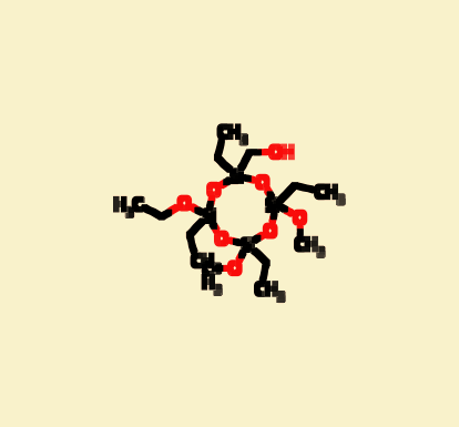 CCO[Si]1(CC)O[Si](CC)(CO)O[Si](CC)(OC)O[Si](CC)(OC)O1